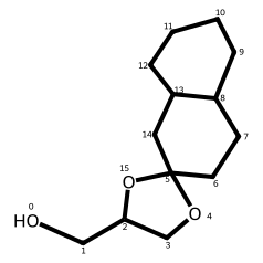 OCC1COC2(CCC3CCCCC3C2)O1